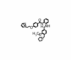 COc1cc(CNc2ccccc2NC(=O)c2ccc(OCCn3cccn3)cc2)ccc1CN1CCCC1